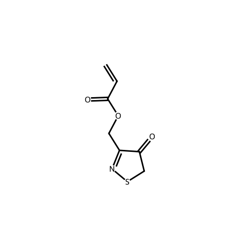 C=CC(=O)OCC1=NSCC1=O